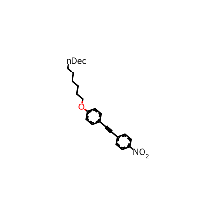 CCCCCCCCCCCCCCCCOc1ccc(C#Cc2ccc([N+](=O)[O-])cc2)cc1